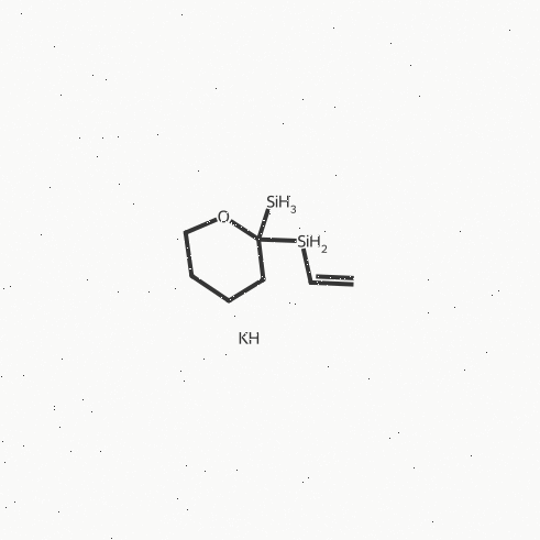 C=C[SiH2]C1([SiH3])CCCCO1.[KH]